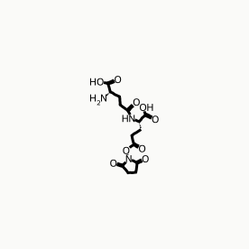 N[C@@H](CCC(=O)N[C@@H](CCC(=O)ON1C(=O)CCC1=O)C(=O)O)C(=O)O